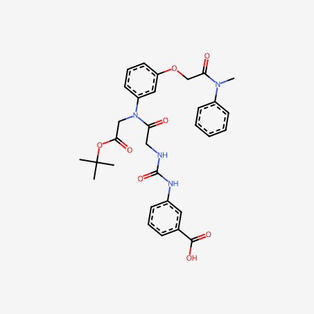 CN(C(=O)COc1cccc(N(CC(=O)OC(C)(C)C)C(=O)CNC(=O)Nc2cccc(C(=O)O)c2)c1)c1ccccc1